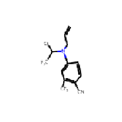 C=CCN(c1ccc(C#N)c(C(F)(F)F)c1)C(CC)C(F)(F)F